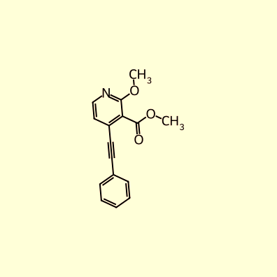 COC(=O)c1c(C#Cc2ccccc2)ccnc1OC